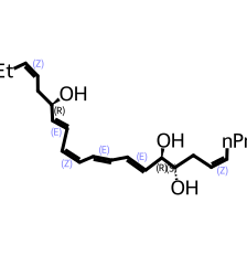 CC/C=C\C[C@@H](O)/C=C/C=C\C=C\C=C\[C@@H](O)[C@@H](O)C/C=C\CCC